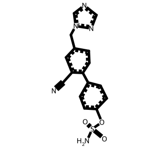 N#Cc1cc(Cn2cncn2)ccc1-c1ccc(OS(N)(=O)=O)cc1